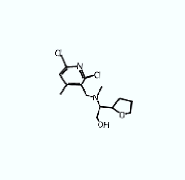 Cc1cc(Cl)nc(Cl)c1CN(C)C(CO)C1CCCO1